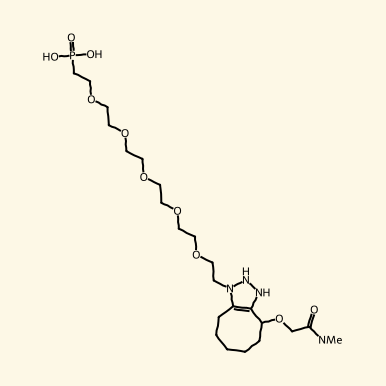 CNC(=O)COC1CCCCCC2=C1NNN2CCOCCOCCOCCOCCOCCP(=O)(O)O